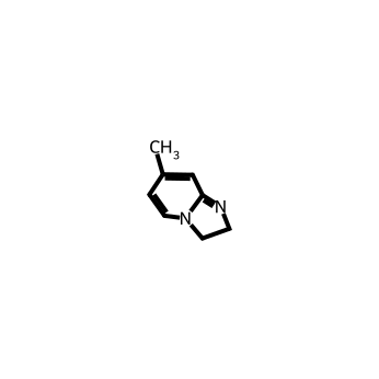 CC1=CC2=NCCN2C=C1